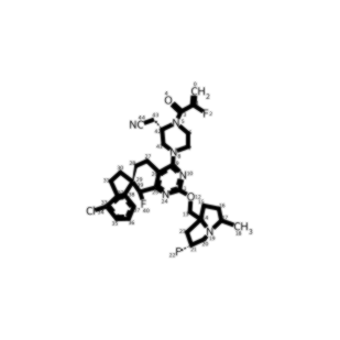 C=C(F)C(=O)N1CCN(c2nc(OCC34CCC(C)N3C[C@H](F)C4)nc3c2CC[C@@]2(CCc4c(Cl)cccc42)C3F)C[C@@H]1CC#N